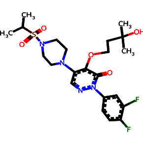 CC(C)S(=O)(=O)N1CCN(c2cnn(-c3ccc(F)c(F)c3)c(=O)c2OCCC(C)(C)O)CC1